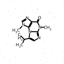 CC(C)c1cnc2n(C)c(=O)c3ncn(C)c3n12